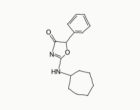 O=C1N=C(NC2CCCCCC2)OC1c1ccccc1